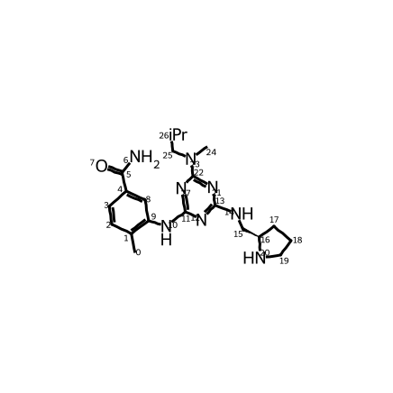 Cc1ccc(C(N)=O)cc1Nc1nc(NC[C@H]2CCCN2)nc(N(C)CC(C)C)n1